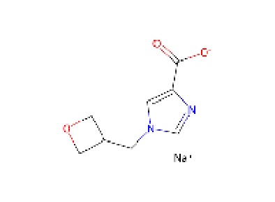 O=C([O-])c1cn(CC2COC2)cn1.[Na+]